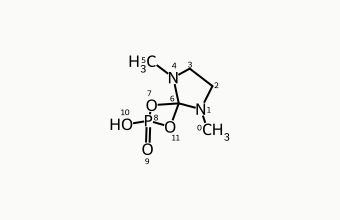 CN1CCN(C)C12OP(=O)(O)O2